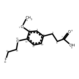 COc1cc(CCC(=O)O)ccc1OCCF